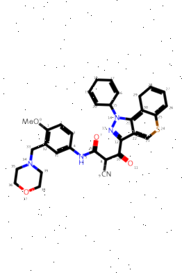 COc1ccc(NC(=O)C(C#N)C(=O)c2nn(C3C=CCC=C3)c3c2=CSC2=CC=CCC=32)cc1CN1CCOCC1